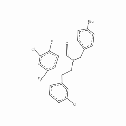 CC(C)(C)c1ccc(CN(CCc2cccc(Cl)c2)C(=O)c2cc(C(F)(F)F)cc(Cl)c2F)cc1